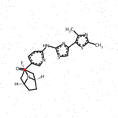 Cc1nc(C)c(-c2csc(Nc3ccc(C(=O)N4[C@@H]5CC[C@H]4C[C@H](F)C5)cn3)n2)s1